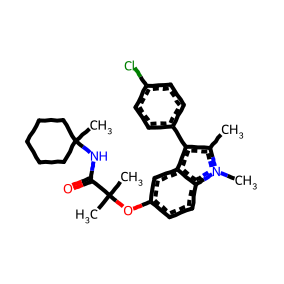 Cc1c(-c2ccc(Cl)cc2)c2cc(OC(C)(C)C(=O)NC3(C)CCCCC3)ccc2n1C